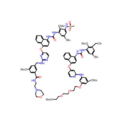 COCCOCCOCCOc1cc(Nc2cc(Oc3ccc(NC(=O)Nc4cc(C(C)(C)C)cc(CC#N)c4OC)c4ccccc34)ccn2)cc(OC)c1.COc1cc(CNc2nccc(Oc3ccc(NC(=O)Nc4cc(C(C)(C)C)cc(NS(C)(=O)=O)c4OC)c4ccccc34)n2)cc(C(=O)NCCN2CCOCC2)c1